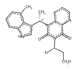 CCC(CC(=O)O)n1c(=O)c2ncccc2n([C@@H](C)c2c[nH]c3cccc(C)c23)c1=O